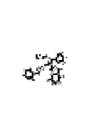 COc1c(C=NOCc2ccccc2)c(=O)n(Cc2ccccc2)c2ccccc12